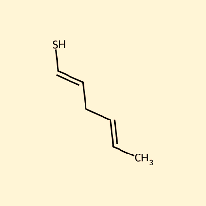 CC=CCC=CS